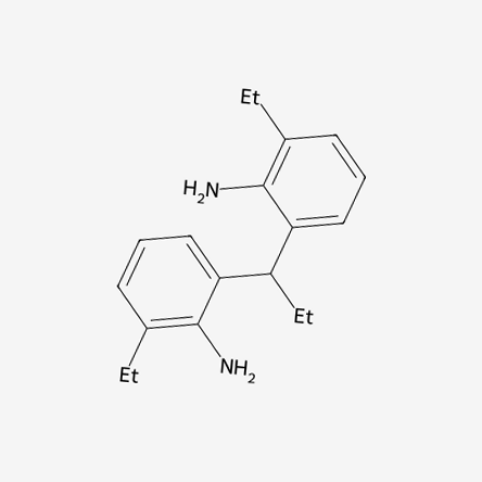 CCc1cccc(C(CC)c2cccc(CC)c2N)c1N